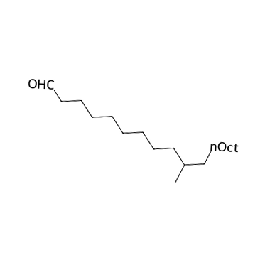 CCCCCCCCCC(C)CCCCCCCCC=O